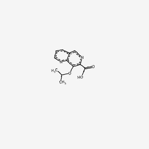 CC(C)Oc1c(C(=O)O)ncc2cccnc12